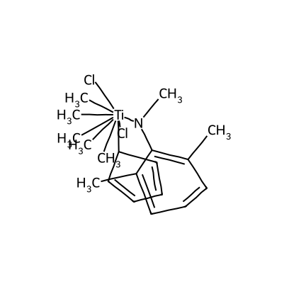 Cc1cccc(C)c1[N](C)[Ti]([CH3])([CH3])([CH3])([CH3])([CH3])([Cl])([Cl])[CH]1C=CC=C1